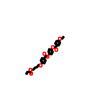 C=CC(=O)OCCCCOc1ccc(C(=O)Oc2ccc(OC(=O)c3ccc(OCC)cc3)cc2)cc1